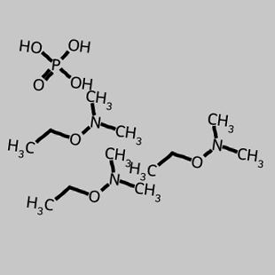 CCON(C)C.CCON(C)C.CCON(C)C.O=P(O)(O)O